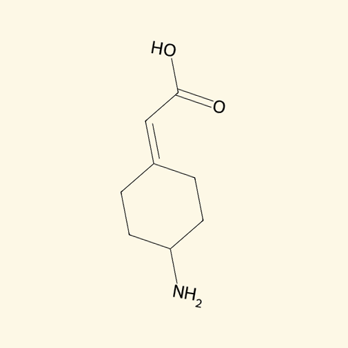 NC1CCC(=CC(=O)O)CC1